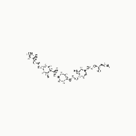 C=CC(=O)OCOc1ccc(OCOC2CCC(OC(=O)c3ccc(OCOC(=O)C=C)cc3F)CC2)c(F)c1